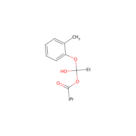 CCC(O)(OC(=O)C(C)C)Oc1ccccc1C